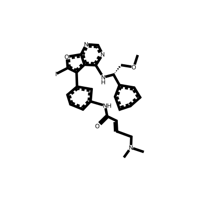 COC[C@@H](Nc1ncnc2oc(I)c(-c3cccc(NC(=O)/C=C/CN(C)C)c3)c12)c1ccccc1